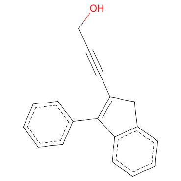 OCC#CC1=C(c2ccccc2)c2ccccc2C1